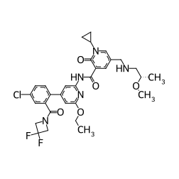 CCOc1cc(-c2ccc(Cl)cc2C(=O)N2CC(F)(F)C2)cc(NC(=O)c2cc(CNC[C@H](C)OC)cn(C3CC3)c2=O)n1